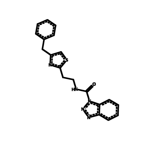 O=C(NCCc1nc(Cc2ccccc2)cs1)n1nnc2ccccc21